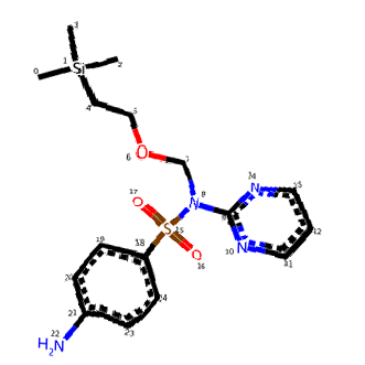 C[Si](C)(C)CCOCN(c1ncccn1)S(=O)(=O)c1ccc(N)cc1